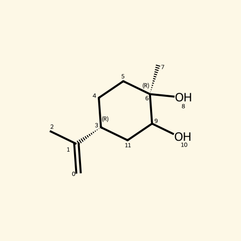 C=C(C)[C@@H]1CC[C@@](C)(O)C(O)C1